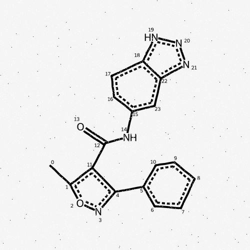 Cc1onc(-c2ccccc2)c1C(=O)Nc1ccc2[nH]nnc2c1